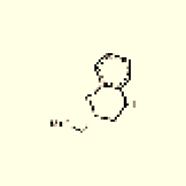 COC[C@H]1CNc2ccccc2O1